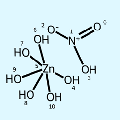 O=[N+]([O-])O.[OH][Zn]([OH])([OH])([OH])([OH])[OH]